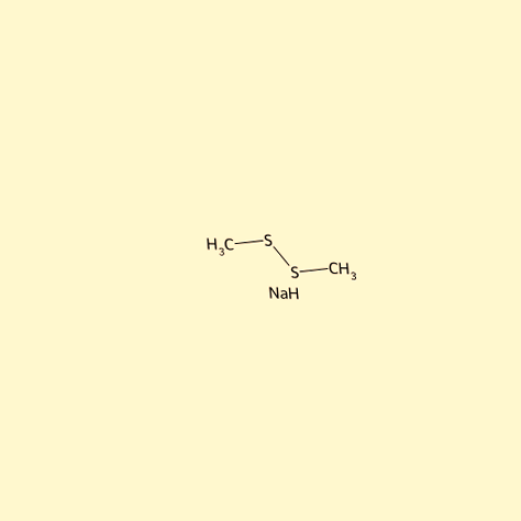 CSSC.[NaH]